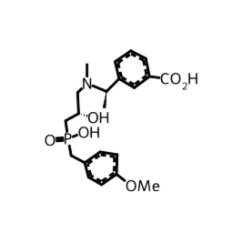 COc1ccc(CP(=O)(O)C[C@@H](O)CN(C)[C@H](C)c2cccc(C(=O)O)c2)cc1